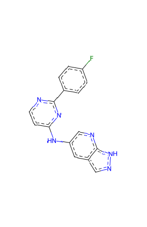 Fc1ccc(-c2nccc(Nc3cnc4[nH]ncc4c3)n2)cc1